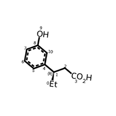 CC[C@H](CC(=O)O)c1cccc(O)c1